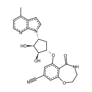 Cc1ccnc2c1ccn2[C@@H]1C[C@H](Oc2cc(C#N)cc3c2C(=O)NCCO3)[C@@H](O)[C@H]1O